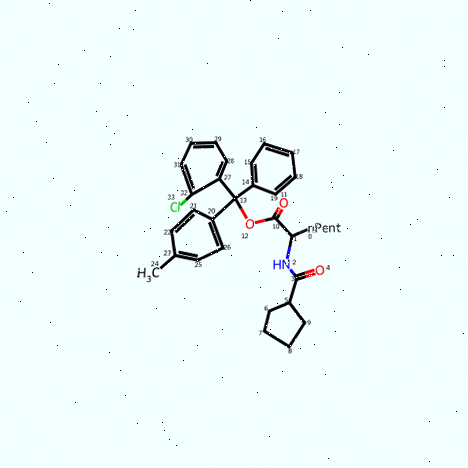 CCCCCC(NC(=O)C1CCCC1)C(=O)OC(c1ccccc1)(c1ccc(C)cc1)c1ccccc1Cl